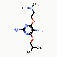 CC(C)COc1nc(N)nc(OCCN(C)C)c1N